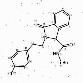 CCCCNC(=O)C1c2ccccc2C(=O)N1CCc1ccc(Cl)cc1